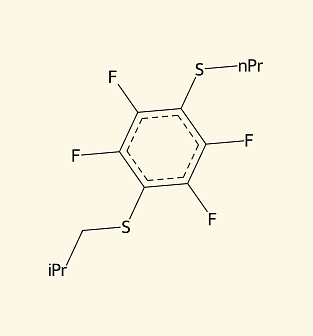 CCCSc1c(F)c(F)c(SCC(C)C)c(F)c1F